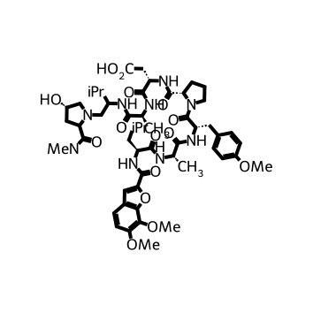 CNC(=O)C1C[C@H](O)CN1CC(NC(=O)[C@H](C)NC(=O)[C@H](CC(=O)O)NC(=O)[C@@H]1CCCN1C(=O)[C@H](Cc1ccc(OC)cc1)NC(=O)[C@H](C)NC(=O)[C@H](CC(C)C)NC(=O)c1cc2ccc(OC)c(OC)c2o1)C(C)C